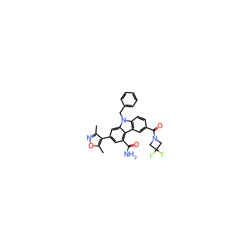 Cc1noc(C)c1-c1cc(C(N)=O)c2c3cc(C(=O)N4CC(F)(F)C4)ccc3n(Cc3ccccc3)c2c1